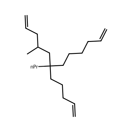 C=CCCCCC(CCC)(CCCC=C)CC(C)CC=C